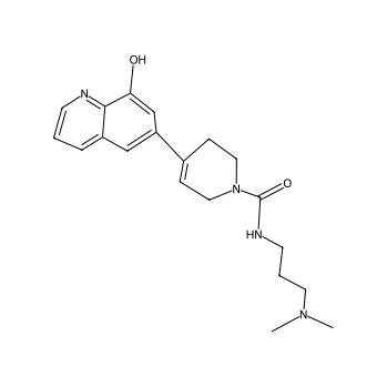 CN(C)CCCNC(=O)N1CC=C(c2cc(O)c3ncccc3c2)CC1